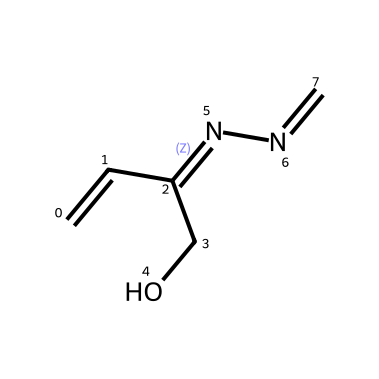 C=C/C(CO)=N/N=C